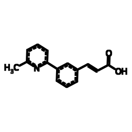 Cc1cccc(-c2cccc(/C=C/C(=O)O)c2)n1